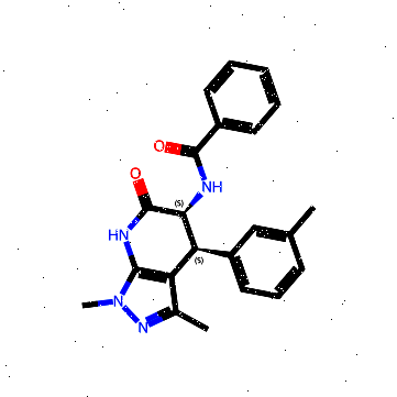 Cc1cccc([C@H]2c3c(C)nn(C)c3NC(=O)[C@H]2NC(=O)c2ccccc2)c1